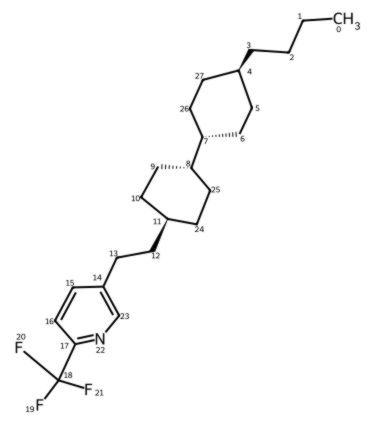 CCCC[C@H]1CC[C@H]([C@H]2CC[C@H](CCc3ccc(C(F)(F)F)nc3)CC2)CC1